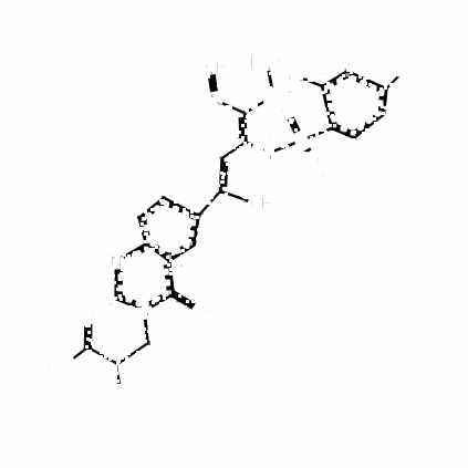 C=N/C(OC)=C(\C=C(/C)c1ccc2ncn(C[C@@H](C)C(=O)O)c(=O)c2c1)NS(=O)(=O)c1ccc(F)cc1Cl